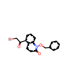 O=C(CBr)c1cccc2c1ccc(=O)n2OCc1ccccc1